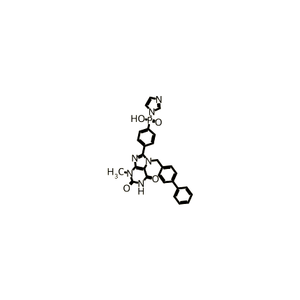 Cn1c(=O)[nH]c(=O)c2c1nc(-c1ccc(P(=O)(O)n3ccnc3)cc1)n2Cc1ccc(-c2ccccc2)cc1